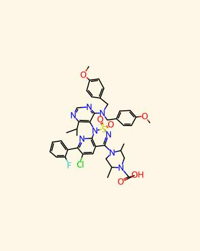 COc1ccc(CN(Cc2ccc(OC)cc2)c2ncnc(C(C)C)c2N2c3nc(-c4ccccc4F)c(Cl)cc3C(N3CC(C)N(C(=O)O)CC3C)=NS2(=O)=O)cc1